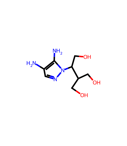 Nc1cnn(C(CO)C(CO)CO)c1N